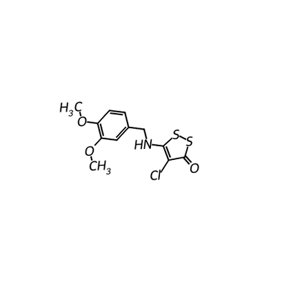 COc1ccc(CNc2ssc(=O)c2Cl)cc1OC